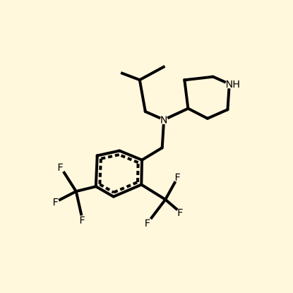 CC(C)CN(Cc1ccc(C(F)(F)F)cc1C(F)(F)F)C1CCNCC1